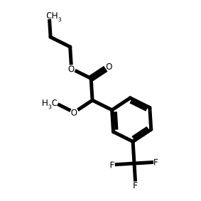 CCCOC(=O)C(OC)c1cccc(C(F)(F)F)c1